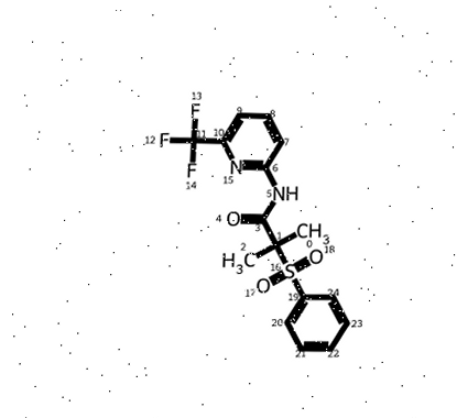 CC(C)(C(=O)Nc1cccc(C(F)(F)F)n1)S(=O)(=O)c1ccccc1